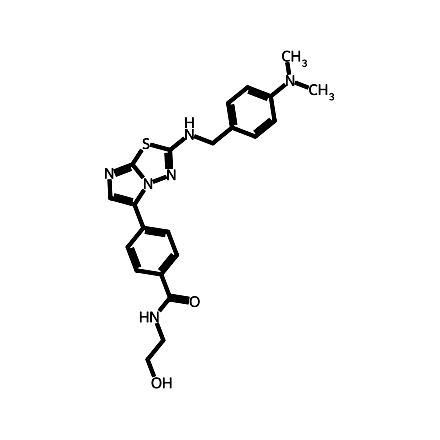 CN(C)c1ccc(CNc2nn3c(-c4ccc(C(=O)NCCO)cc4)cnc3s2)cc1